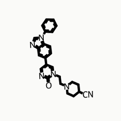 N#CC1CCN(CCn2cc(-c3ccc4c(c3)ncn4-c3ccccc3)cnc2=O)CC1